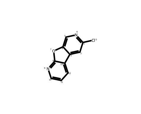 Clc1cc2c(cn1)oc1ncccc12